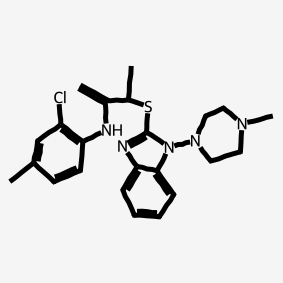 C=C(Nc1ccc(C)cc1Cl)C(C)Sc1nc2ccccc2n1N1CCN(C)CC1